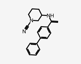 C=C(NC1CCCN(C#N)C1)c1ccc(-c2ccccc2)cc1